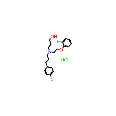 Cl.OCCCN(CCCc1ccc(Cl)cc1)CCOc1ccccc1F